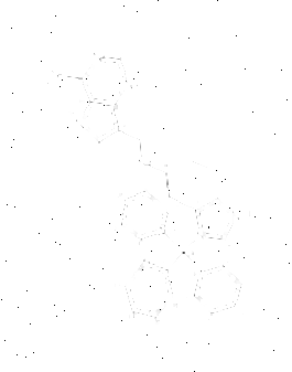 Nc1ncnc2c(CN[C@H](CO)Cc3cncn3C(c3ccccc3)(c3ccccc3)c3ccccc3)c[nH]c12